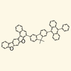 CC1(C)c2ccc(-c3cc4ccccc4c4c3oc3cc5oc6ccccc6c5cc34)cc2-c2ccc(-c3c4ccccc4c(-c4ccccc4)c4ccccc34)cc21